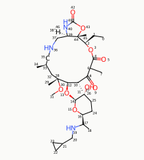 CC[C@H]1OC(=O)C(C)C(=O)[C@H](C)[C@@H](O[C@@H]2O[C@H](C(C)NCC3CC3)CC[C@H]2O)[C@](C)(OC)C[C@@H](C)CN[C@H](C)[C@H]2NC(=O)O[C@@]21C